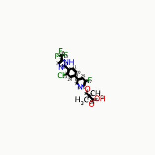 CC(C)(COc1ncc(-c2ccc(-c3ncc(C(F)(F)F)[nH]3)c(Cl)c2)cc1F)C(=O)O